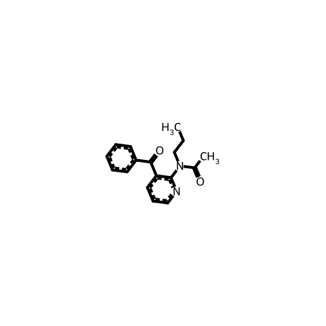 CCCN(C(C)=O)c1ncccc1C(=O)c1ccccc1